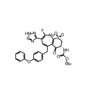 CC(C)(C)OC(=O)N[C@H]1CS(=O)(=O)C2=C(C1=O)C(Cc1ccc(Oc3ccccc3)cc1)=CC(c1nn[nH]n1)=C(F)N2